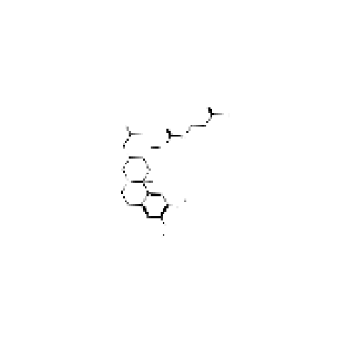 COc1cc2c(cc1OC)[C@H]1C[C@@H](COC(=O)NCCC(=O)O)[C@H](CC(C)C)CN1CC2